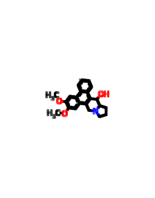 COc1cc2c3c(c4cc[c]cc4c2cc1OC)C(O)C1CCCN1C3